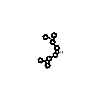 c1ccc(C2c3ccccc3-c3cc(-c4ccc5[nH]c6ccc(-c7ccc8c(c7)c7ccccc7n8-c7ccccc7)cc6c5c4)ccc32)cc1